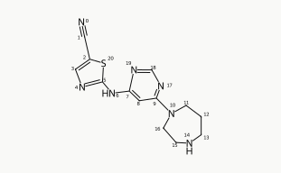 N#Cc1cnc(Nc2cc(N3CCCNCC3)ncn2)s1